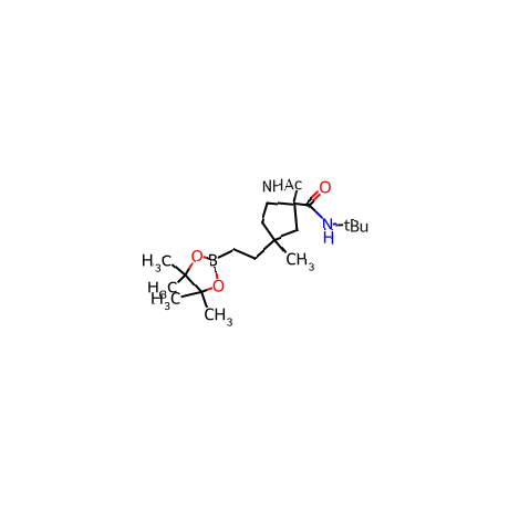 CC(=O)NC1(C(=O)NC(C)(C)C)CCC(C)(CCB2OC(C)(C)C(C)(C)O2)C1